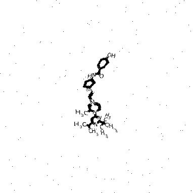 CC(C)c1cc(N2CCN(CC[C@@H]3CC[C@@H](NC(=O)C4CCC(O)CC4)C3)CC2C)nc(C(C)(C)C)n1